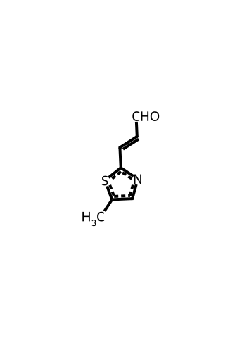 Cc1cnc(/C=C/C=O)s1